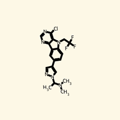 CC(N(C)C)n1cc(-c2ccc3c(c2)c2ncnc(Cl)c2n3CC(F)(F)F)cn1